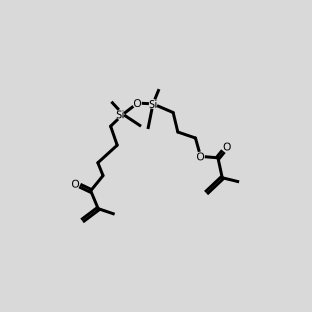 C=C(C)C(=O)CCCC[Si](C)(C)O[Si](C)(C)CCCOC(=O)C(=C)C